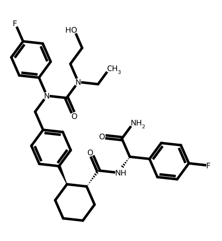 CCN(CCO)C(=O)N(Cc1ccc([C@@H]2CCCC[C@H]2C(=O)N[C@H](C(N)=O)c2ccc(F)cc2)cc1)c1ccc(F)cc1